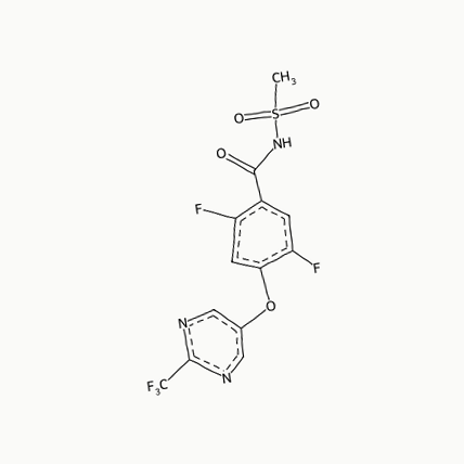 CS(=O)(=O)NC(=O)c1cc(F)c(Oc2cnc(C(F)(F)F)nc2)cc1F